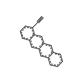 C#Cc1cccc2cc3cc4ccccc4cc3cc12